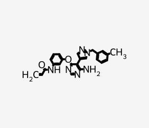 C=CC(=O)Nc1cccc(Oc2ncnc(N)c2-c2cnn(Cc3cccc(C)c3)c2)c1